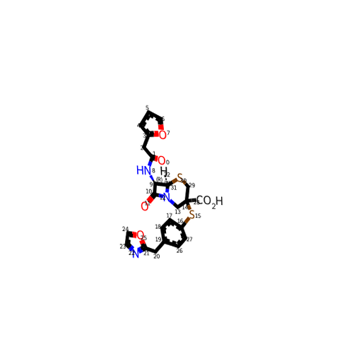 O=C(Cc1ccco1)N[C@@H]1C(=O)N2CC(Sc3ccc(Cc4ncco4)cc3)(C(=O)O)CS[C@H]12